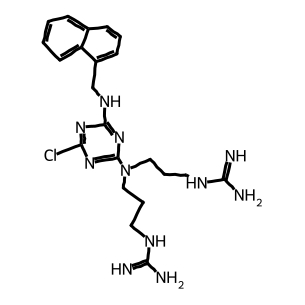 N=C(N)NCCCN(CCCNC(=N)N)c1nc(Cl)nc(NCc2cccc3ccccc23)n1